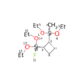 CCO[Si](C)(OCC)C1CCC1[Si](F)(OCC)OCC